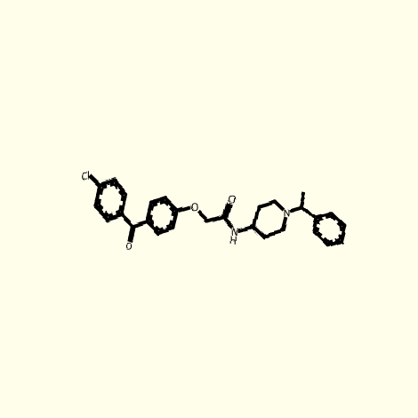 CC(c1ccccc1)N1CCC(NC(=O)COc2ccc(C(=O)c3ccc(Cl)cc3)cc2)CC1